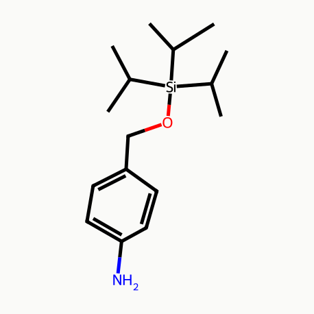 CC(C)[Si](OCc1ccc(N)cc1)(C(C)C)C(C)C